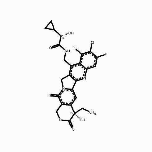 CC[C@@]1(O)C(=O)OCc2c1cc1n(c2=O)Cc2c-1nc1cc(F)c(Cl)c(F)c1c2CNC(=O)[C@@H](O)C1CC1